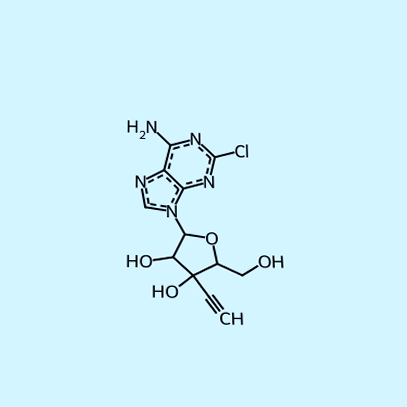 C#CC1(O)C(CO)OC(n2cnc3c(N)nc(Cl)nc32)C1O